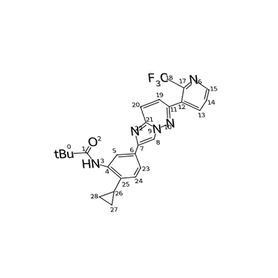 CC(C)(C)C(=O)Nc1cc(-c2cn3nc(-c4cccnc4C(F)(F)F)ccc3n2)ccc1C1CC1